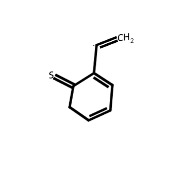 C=[C]C1=CC=CCC1=S